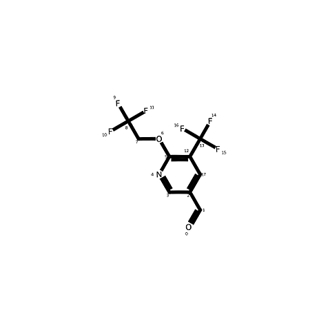 O=Cc1cnc(OCC(F)(F)F)c(C(F)(F)F)c1